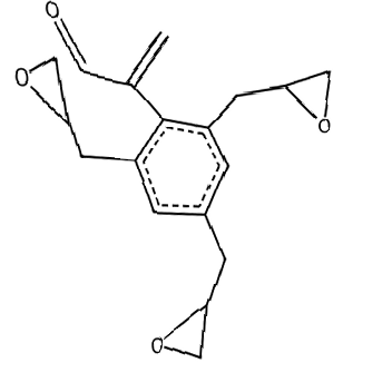 C=C(C=O)c1c(CC2CO2)cc(CC2CO2)cc1CC1CO1